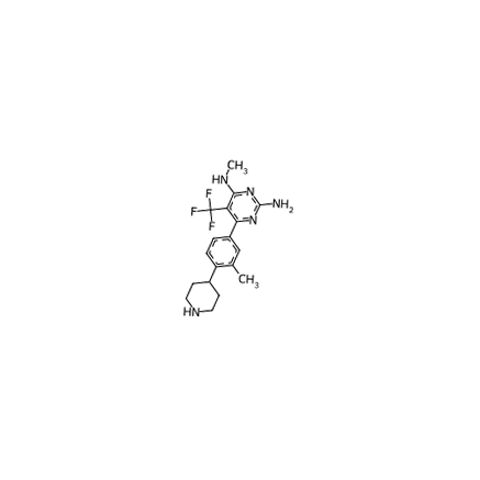 CNc1nc(N)nc(-c2ccc(C3CCNCC3)c(C)c2)c1C(F)(F)F